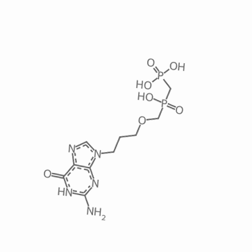 Nc1nc2c(ncn2CCCOCP(=O)(O)CP(=O)(O)O)c(=O)[nH]1